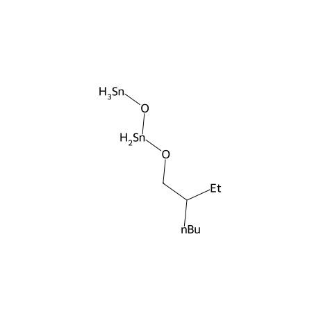 CCCCC(CC)C[O][SnH2][O][SnH3]